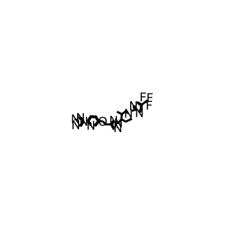 CC1CN(c2ncc(C(F)(F)F)cn2)CCC1n1ncc(COc2ccc(-n3cnnn3)nc2)n1